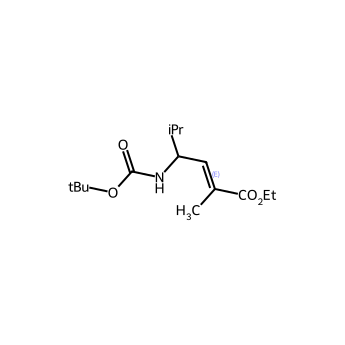 CCOC(=O)/C(C)=C/C(NC(=O)OC(C)(C)C)C(C)C